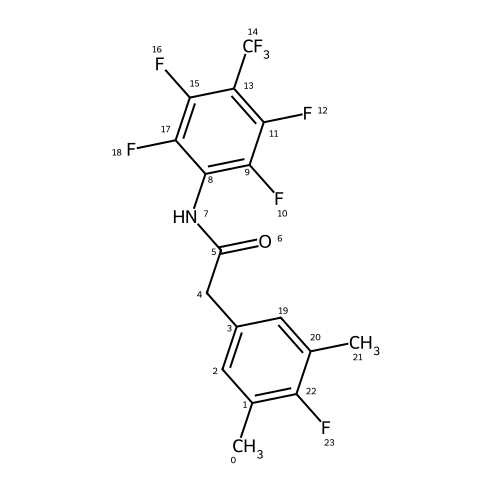 Cc1cc(CC(=O)Nc2c(F)c(F)c(C(F)(F)F)c(F)c2F)cc(C)c1F